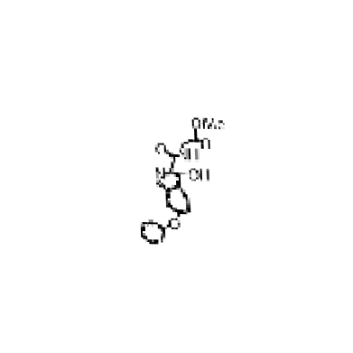 COC(=O)CNC(=O)c1ncc2cc(Oc3ccccc3)ccc2c1O